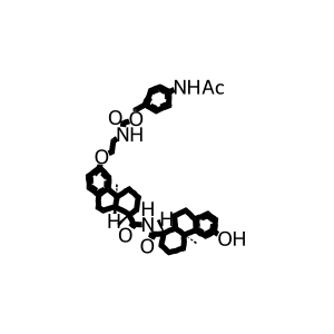 CC(=O)Nc1ccc(COC(=O)NCCOc2ccc3c(c2)[C@@]2(C)CCC[C@](C)(C(=O)NC(=O)[C@@]4(C)CCC[C@]5(C)c6cc(O)ccc6CC[C@@H]45)[C@@H]2CC3)cc1